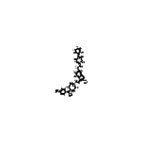 O=C(c1ccc(F)cc1)C1CCN(CCn2c(=O)sc3cc(CCN4CCN(c5ccccc5)CC4)ccc32)CC1